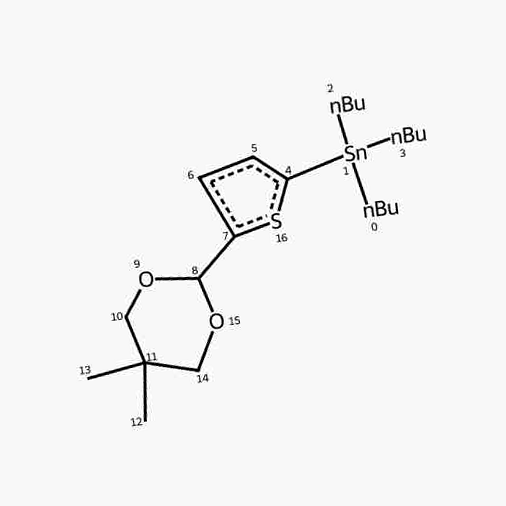 CCC[CH2][Sn]([CH2]CCC)([CH2]CCC)[c]1ccc(C2OCC(C)(C)CO2)s1